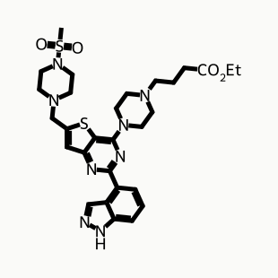 CCOC(=O)CCCN1CCN(c2nc(-c3cccc4[nH]ncc34)nc3cc(CN4CCN(S(C)(=O)=O)CC4)sc23)CC1